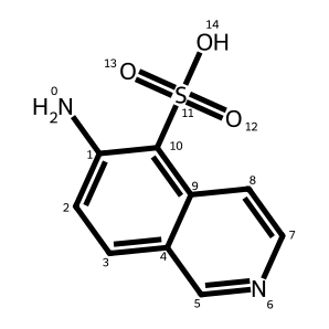 Nc1ccc2cnccc2c1S(=O)(=O)O